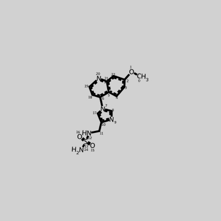 COc1ccc2c(-n3cnc(CNS(N)(=O)=O)c3)ccnc2c1